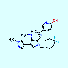 C=Nc1c(-c2cnn(C)c2)cn(CC2CCC(F)(F)CC2)c1/C=C(\C)c1ccc(O)nc1